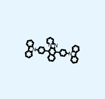 c1ccc2c(-c3ccc(-n4c5ccccc5c5ccccc54)cc3)c3c(nc4ccccn43)c(-c3ccc(-n4c5ccccc5c5ccccc54)cc3)c2c1